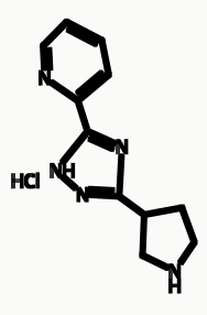 Cl.c1ccc(-c2nc(C3CCNC3)n[nH]2)nc1